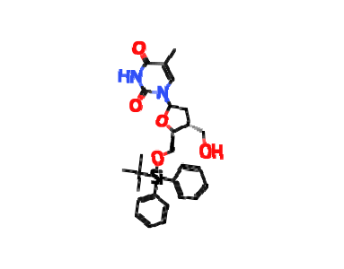 Cc1cn([C@H]2C[C@H](CO)[C@@H](CO[Si](c3ccccc3)(c3ccccc3)C(C)(C)C)O2)c(=O)[nH]c1=O